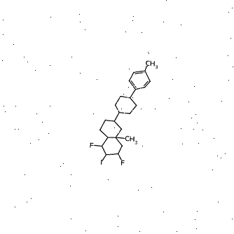 Cc1ccc(C2CCC(C3CCC4C(F)C(I)C(F)CC4(C)C3)CC2)cc1